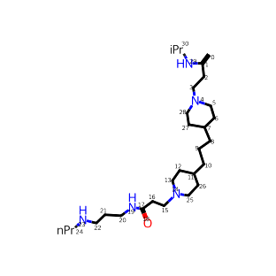 C=C(CCN1CCC(CCCC2CCN(CCC(=O)NCCCNCCC)CC2)CC1)NC(C)C